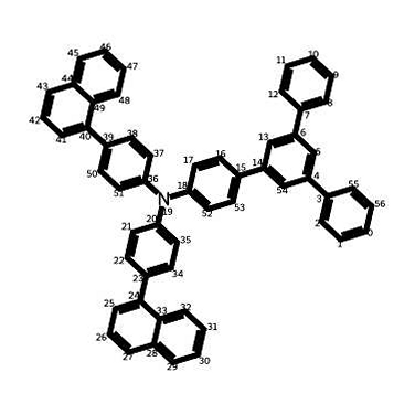 c1ccc(-c2cc(-c3ccccc3)cc(-c3ccc(N(c4ccc(-c5cccc6ccccc56)cc4)c4ccc(-c5cccc6ccccc56)cc4)cc3)c2)cc1